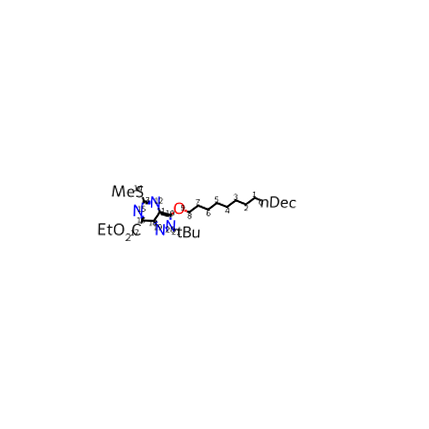 CCCCCCCCCCCCCCCCCCOc1c2nc(SC)nc(C(=O)OCC)c2nn1C(C)(C)C